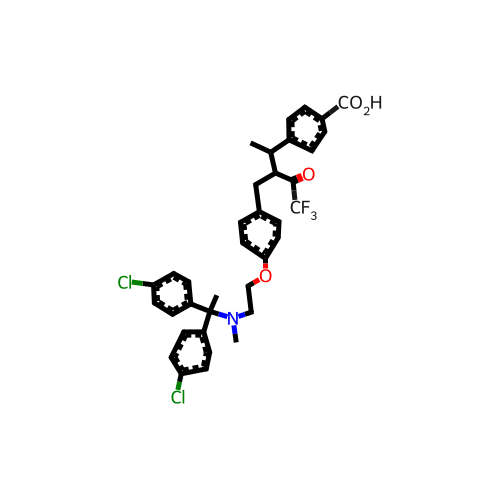 CC(c1ccc(C(=O)O)cc1)C(Cc1ccc(OCCN(C)C(C)(c2ccc(Cl)cc2)c2ccc(Cl)cc2)cc1)C(=O)C(F)(F)F